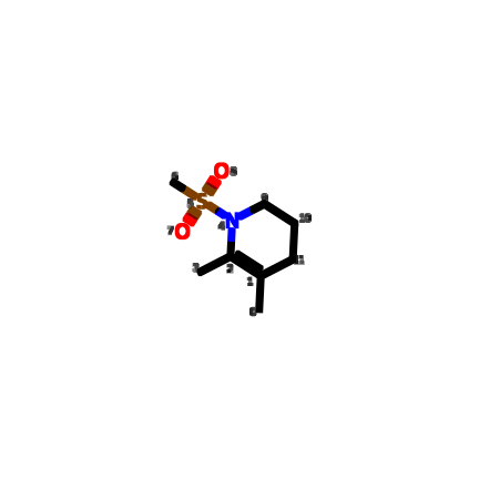 CC1=C(C)N(S(C)(=O)=O)CCC1